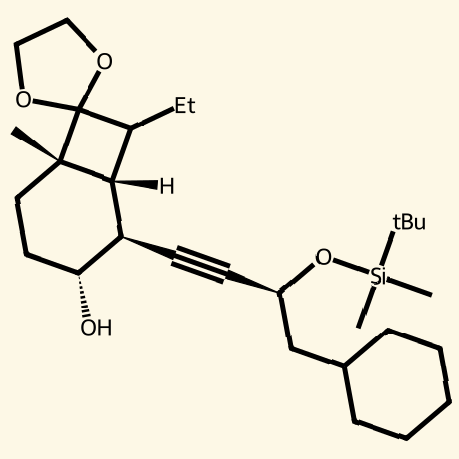 CCC1[C@@H]2[C@@H](C#C[C@H](CC3CCCCC3)O[Si](C)(C)C(C)(C)C)[C@H](O)CC[C@]2(C)C12OCCO2